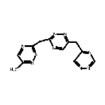 Cc1cnc(Cc2ncc(Cc3cnncn3)nn2)nn1